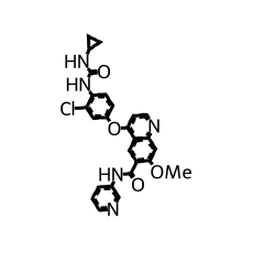 COc1cc2nccc(Oc3ccc(NC(=O)NC4CC4)c(Cl)c3)c2cc1C(=O)Nc1cccnc1